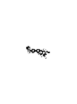 CCCN(C(=O)C1=Cc2ccc(-c3ccc(C(=O)N4CCCC4)cc3)cc2N=C(N)C1)C(C)CC